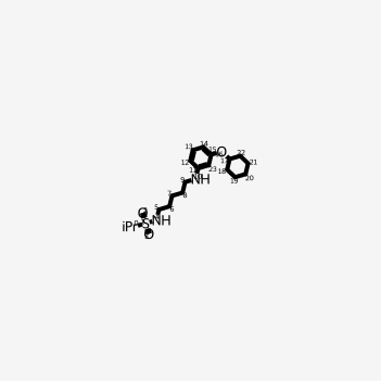 CC(C)S(=O)(=O)NCCCCCNc1cccc(OC2CCCCC2)c1